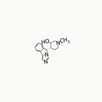 CN1CCC([C@H]2c3ccccc3-c3cncn32)[C@@H](O)C1